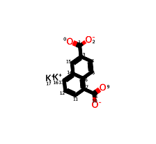 O=C([O-])c1ccc2c(C(=O)[O-])cccc2c1.[K+].[K+]